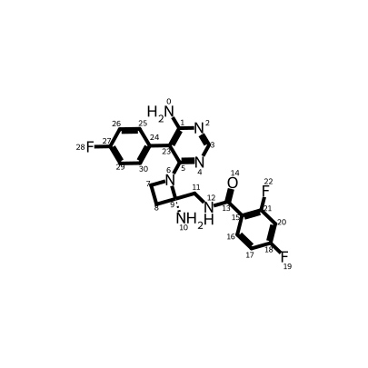 Nc1ncnc(N2CC[C@]2(N)CNC(=O)c2ccc(F)cc2F)c1-c1ccc(F)cc1